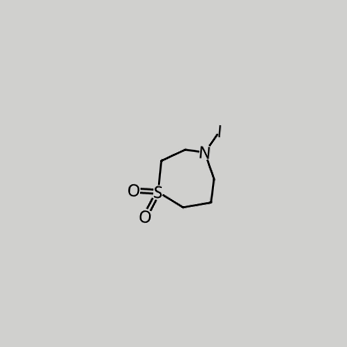 O=S1(=O)CCCN(I)CC1